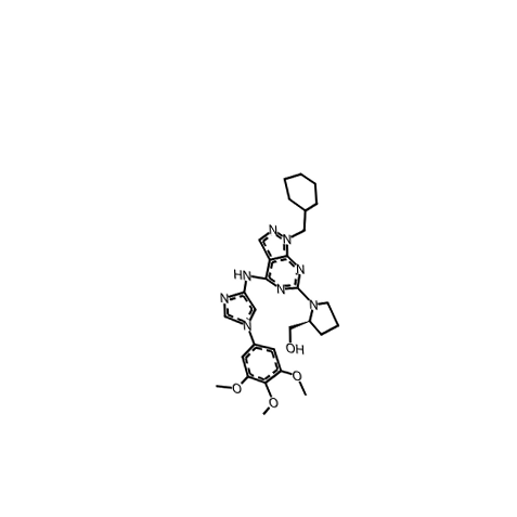 COc1cc(-n2cnc(Nc3nc(N4CCC[C@H]4CO)nc4c3cnn4CC3CCCCC3)c2)cc(OC)c1OC